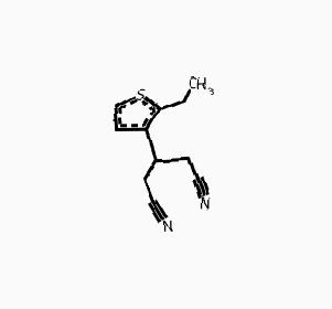 CCc1sccc1C(CC#N)CC#N